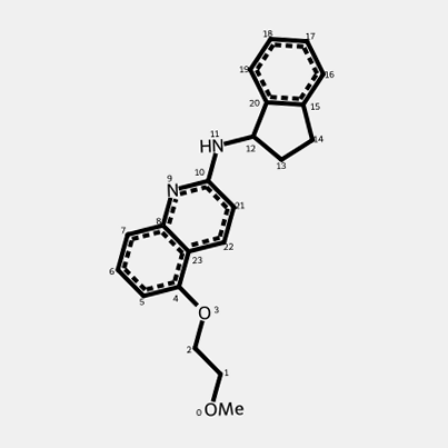 COCCOc1cccc2nc(NC3CCc4ccccc43)ccc12